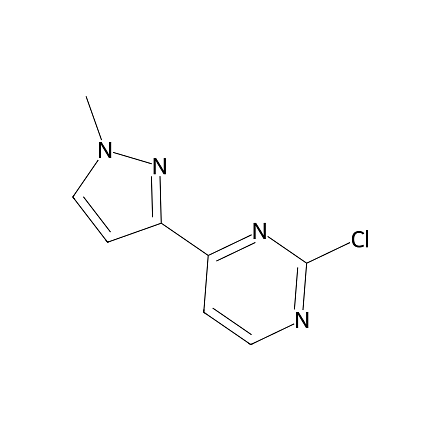 Cn1ccc(-c2ccnc(Cl)n2)n1